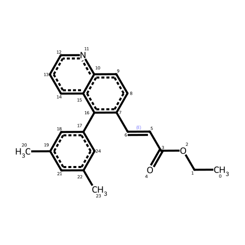 CCOC(=O)/C=C/c1ccc2ncccc2c1-c1cc(C)cc(C)c1